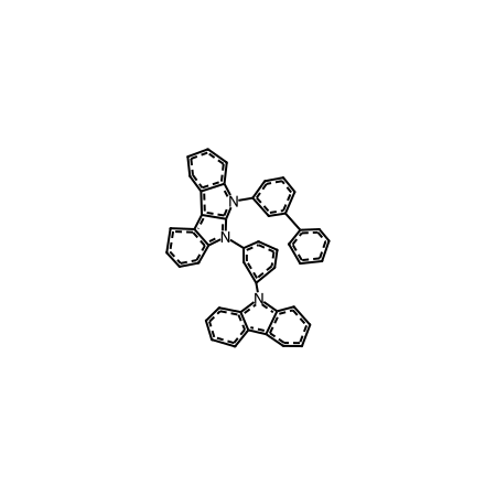 c1ccc(-c2cccc(-n3c4ccccc4c4c5ccccc5n(-c5cccc(-n6c7ccccc7c7ccccc76)c5)c43)c2)cc1